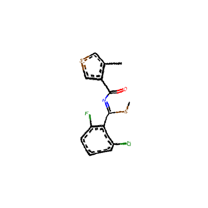 CS/C(=N\C(=O)c1cscc1C)c1c(F)cccc1Cl